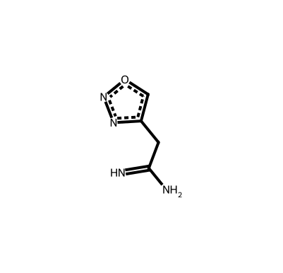 N=C(N)Cc1conn1